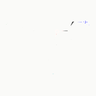 Cc1cc(Cl)ccc1-c1cc(F)cc2c1O[C@@H](CN)C2